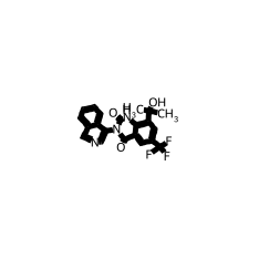 CC(C)(O)c1cc(C(F)(F)F)cc2c(=O)n(-c3cncc4ccccc34)c(=O)[nH]c12